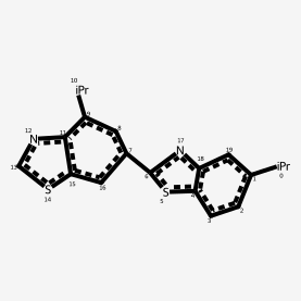 CC(C)c1ccc2sc(-c3cc(C(C)C)c4ncsc4c3)nc2c1